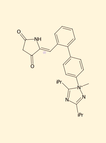 CC(C)C1=N[N+](C)(c2ccc(-c3ccccc3/C=C3\NC(=O)CC3=O)cc2)C(C(C)C)=N1